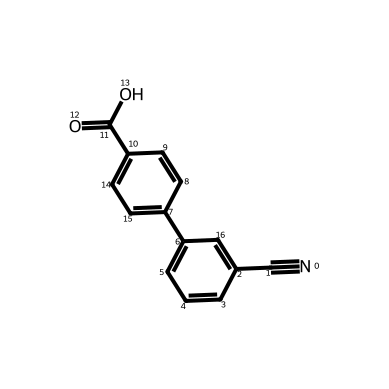 N#Cc1cccc(-c2ccc(C(=O)O)cc2)c1